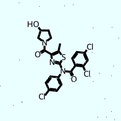 Cc1sc(N(C(=O)c2ccc(Cl)cc2Cl)c2ccc(Cl)cc2)nc1C(=O)N1CCC(O)C1